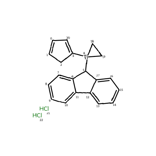 C1=CC[C]([Ti]2([CH]3c4ccccc4-c4ccccc43)[CH2][CH2]2)=C1.Cl.Cl